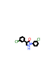 O=c1c(-c2cccc(Cl)c2)c[nH]n1-c1cccc(Cl)c1